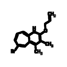 C=CCOC1=C(C)C(C)=C2C=C(Br)C=CC=C2N1